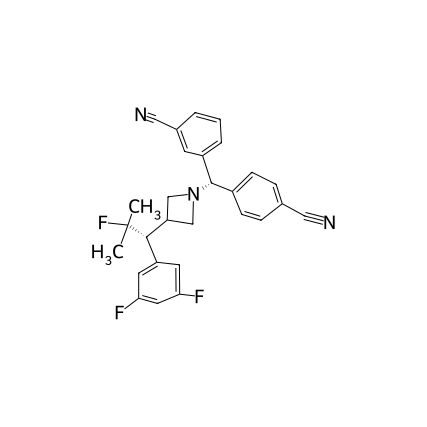 CC(C)(F)[C@@H](c1cc(F)cc(F)c1)C1CN([C@@H](c2ccc(C#N)cc2)c2cccc(C#N)c2)C1